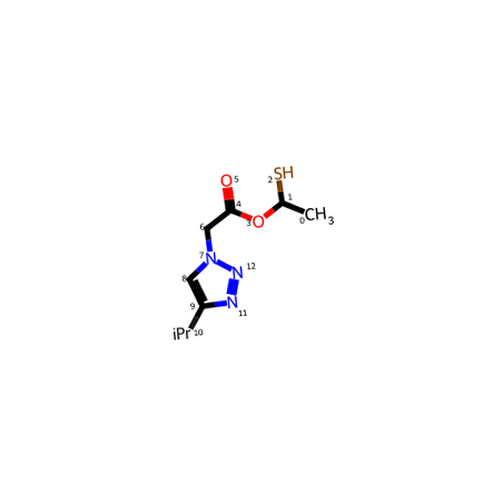 CC(S)OC(=O)Cn1cc(C(C)C)nn1